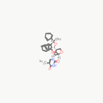 Cc1cn([C@@H]2O[C@@]3(CO[Si](c4ccccc4)(c4ccccc4)C(C)(C)C)CO[C@@H]2[C@@H]3OCc2ccccc2)c(=O)[nH]c1=O